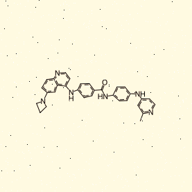 Cc1cc(Nc2ccc(NC(=O)c3ccc(Nc4ccnc5ccc(N6CCC6)cc45)cc3)cc2)ccn1